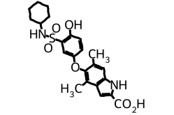 Cc1cc2[nH]c(C(=O)O)cc2c(C)c1Oc1ccc(O)c(S(=O)(=O)NC2CCCCC2)c1